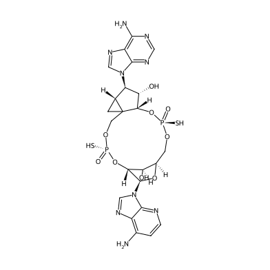 Nc1ncnc2c1ncn2[C@H]1[C@H](O)[C@@H]2O[P@@](=O)(S)OC[C@H]3O[C@@H](n4cnc5c(N)ccnc54)[C@H](O[P@](=O)(S)OCC24C[C@H]14)[C@@H]3O